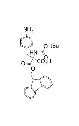 CC(C)(C)OC(=O)N[C@@](Cc1ccc(N)cc1)(C(=O)O)C(=O)OCC1c2ccccc2-c2ccccc21